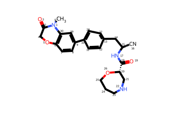 CN1C(=O)COc2ccc(-c3ccc(CC(C#N)NC(=O)[C@@H]4CNCCCO4)cc3)cc21